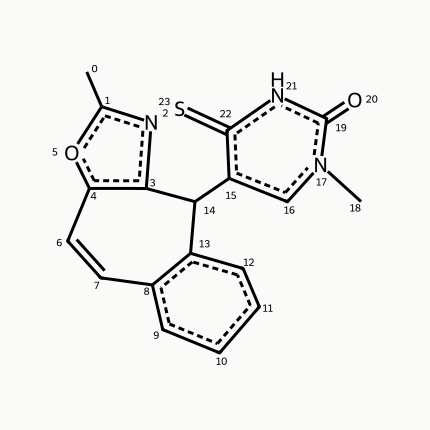 Cc1nc2c(o1)C=Cc1ccccc1C2c1cn(C)c(=O)[nH]c1=S